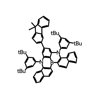 CC(C)(C)c1cc(N2c3cc(-c4ccc5c(c4)-c4ccccc4C5(C)C)cc4c3B(c3ccc5ccccc5c32)c2ccc3ccccc3c2N4c2cc(C(C)(C)C)cc(C(C)(C)C)c2)cc(C(C)(C)C)c1